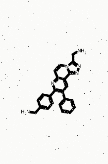 NCc1ccc(-c2nc3ccn4c(CN)nnc4c3cc2-c2ccccc2)cc1